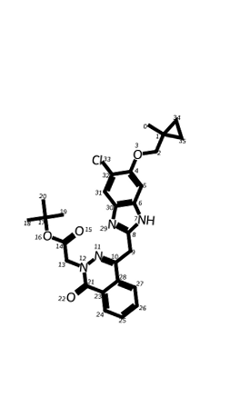 CC1(COc2cc3[nH]c(Cc4nn(CC(=O)OC(C)(C)C)c(=O)c5ccccc45)nc3cc2Cl)CC1